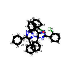 Clc1ccccc1C1=NC(c2ccccc2)(n2c(-c3ccccc3Cl)nc(-c3ccccc3)c2-c2ccccc2)C(c2ccccc2)=N1